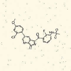 COc1ccc(-c2cnc3[nH]nc(C(=O)c4cccc(NS(C)(=O)=O)c4F)c3c2)c(Cl)c1